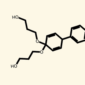 OCCCOC1(OCCCO)C=CC(c2ccccc2)C=C1